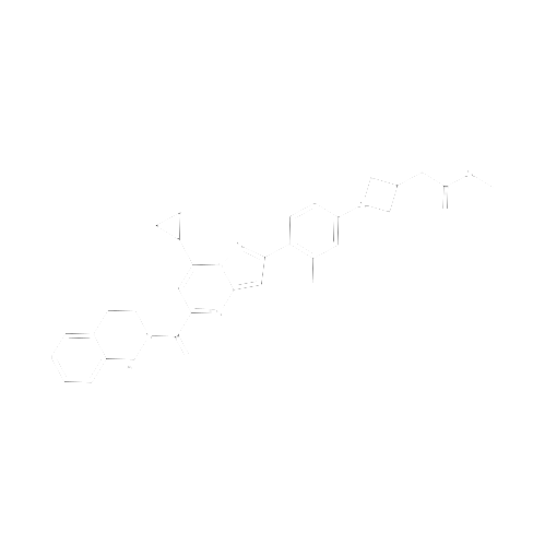 CNC(=O)CC1CN(c2ccc(-c3cc4nc(C(=O)N5CCc6ccccc6[C@H]5C)cc(C5CC5)n4n3)c(F)c2)C1